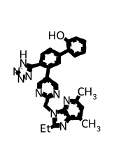 CCc1nc2c(C)cc(C)nc2n1Cc1ncc(-c2cc(-c3ccccc3O)ccc2-c2nnn[nH]2)cn1